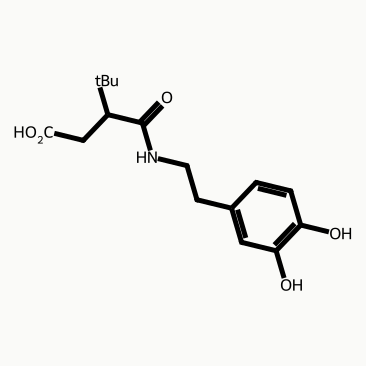 CC(C)(C)C(CC(=O)O)C(=O)NCCc1ccc(O)c(O)c1